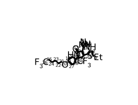 CCc1ccc(C2=C(c3nnn[nH]3)C(=O)N[C@@](c3ccc(OCCCCCC(F)(F)F)cc3)(C(F)(F)F)C2)s1